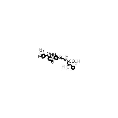 Cc1cc(C(=O)c2ccc(=O)n(-c3ccc(OCCCNC(CC(C)CC4CCCC4)C(=O)O)cc3)c2N)ccc1F